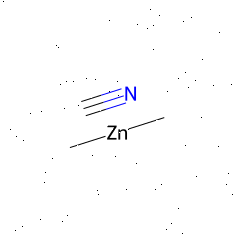 C#N.[CH3][Zn][CH3]